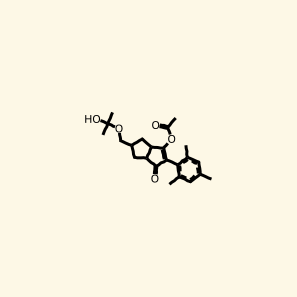 CC(=O)OC1=C(c2c(C)cc(C)cc2C)C(=O)C2CC(COC(C)(C)O)CC12